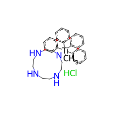 Cl.[CH3][Ti]([c]1ccccc1)([c]1ccccc1)([c]1ccccc1)([c]1ccccc1)[N]1CCNCCNCCNCC1